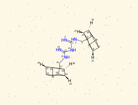 N=C(NCC12C3C4C1[C@H]1C4[C@@H]3[C@H]12)NC(=N)NCC12C3C4C1[C@H]1C4[C@@H]3[C@H]12